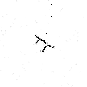 O=[Si](O)O[SiH](O)O